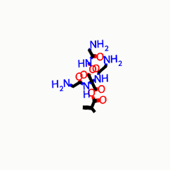 C=C(C)C(=O)OC(=O)C(NC(=O)CN)(NC(=O)CN)C(=O)ONC(=O)CN